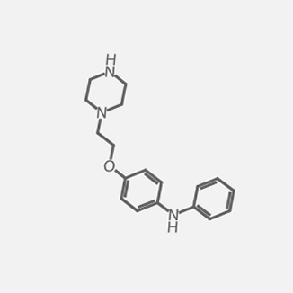 c1ccc(Nc2ccc(OCCN3CCNCC3)cc2)cc1